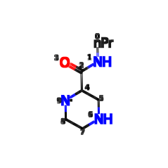 CCCNC(=O)C1CNCC[N]1